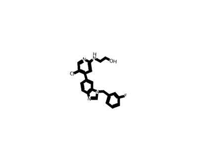 OCCNc1cc(-c2ccc3ncn(Cc4cccc(F)c4)c3c2)c(Cl)cn1